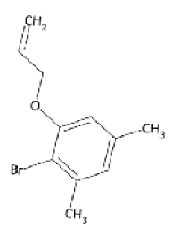 C=CCOc1cc(C)cc(C)c1Br